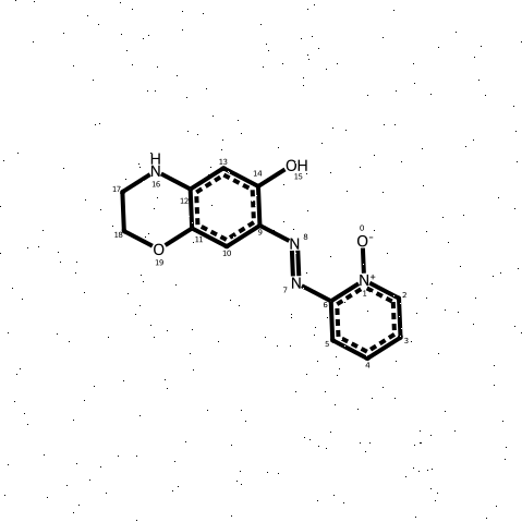 [O-][n+]1ccccc1N=Nc1cc2c(cc1O)NCCO2